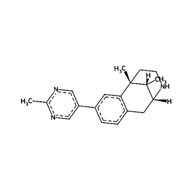 Cc1ncc(-c2ccc3c(c2)[C@]2(C)CCN[C@H](C3)[C@H]2C)cn1